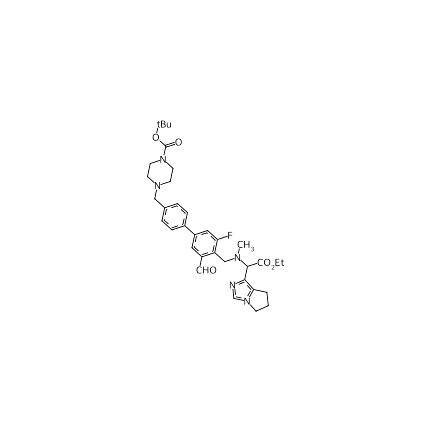 CCOC(=O)C(c1ncn2c1CCC2)N(C)Cc1c(F)cc(-c2ccc(CN3CCN(C(=O)OC(C)(C)C)CC3)cc2)cc1C=O